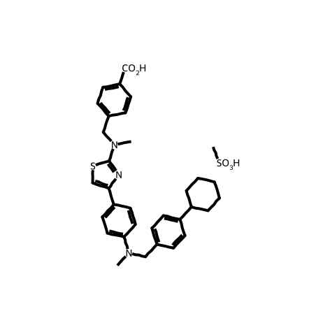 CN(Cc1ccc(C2CCCCC2)cc1)c1ccc(-c2csc(N(C)Cc3ccc(C(=O)O)cc3)n2)cc1.CS(=O)(=O)O